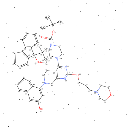 CC(C)(C)OC(=O)N1CCN(c2nc(OCCCN3CCOCC3)nc3c2CCN(c2cc(O)cc4ccccc24)C3)[C@H](CO[Si](c2ccccc2)(c2ccccc2)C(C)(C)C)C1